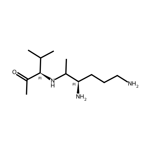 CC(=O)[C@H](NC(C)[C@H](N)CCCN)C(C)C